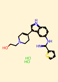 Cl.Cl.N=C(Nc1ccc2[nH]cc(C3=CCN(CCO)CC3)c2c1)c1cccs1